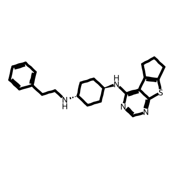 c1ccc(CCN[C@H]2CC[C@H](Nc3ncnc4sc5c(c34)CCC5)CC2)cc1